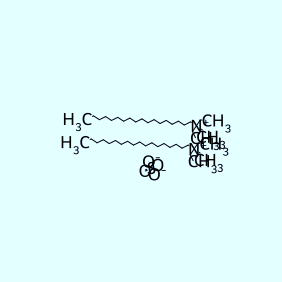 CCCCCCCCCCCCCCCCCC[N+](CC)(CC)CC.CCCCCCCCCCCCCCCCCC[N+](CC)(CC)CC.O=S(=O)([O-])[O-]